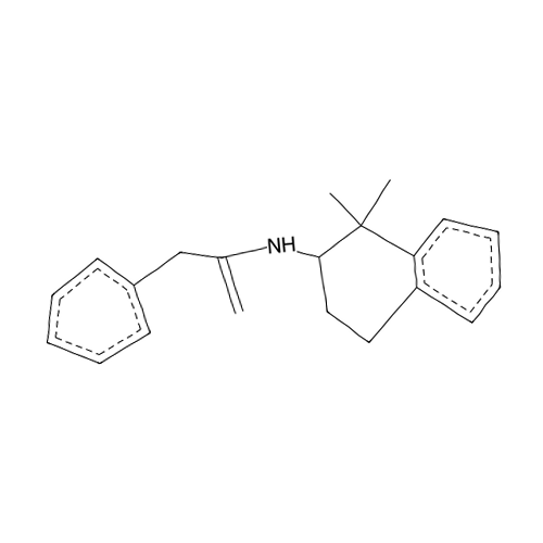 C=C(Cc1ccccc1)NC1CCc2ccccc2C1(C)C